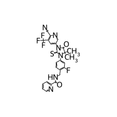 CC1(C)C(=O)N(c2cnc(C#N)c(C(F)(F)F)c2)C(=S)N1c1ccc(CNC(=O)c2ccccn2)c(F)c1